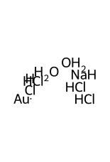 Cl.Cl.Cl.Cl.O.O.[Au].[NaH]